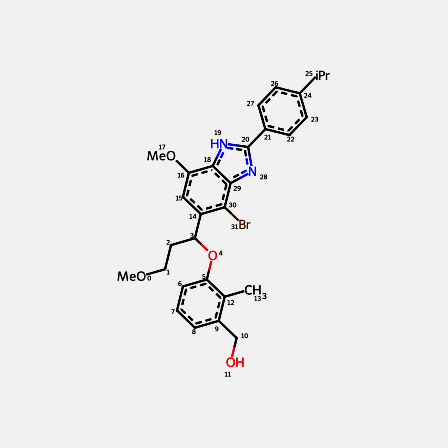 COCCC(Oc1cccc(CO)c1C)c1cc(OC)c2[nH]c(-c3ccc(C(C)C)cc3)nc2c1Br